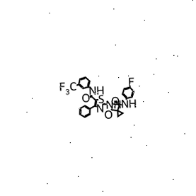 O=C(Nc1cccc(C(F)(F)F)c1)c1sc(NC(=O)C2(C(=O)Nc3ccc(F)cc3)CC2)nc1-c1ccccc1